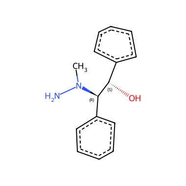 CN(N)[C@H](c1ccccc1)[C@@H](O)c1ccccc1